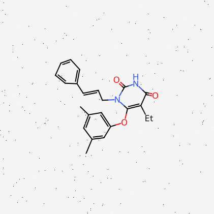 CCc1c(Oc2cc(C)cc(C)c2)n(C/C=C/c2ccccc2)c(=O)[nH]c1=O